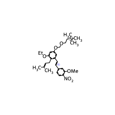 CCOc1cc(OCOCC[Si](C)(C)C)cc(/C=C/c2ccc([N+](=O)[O-])c(OC)c2)c1CC=C(C)C